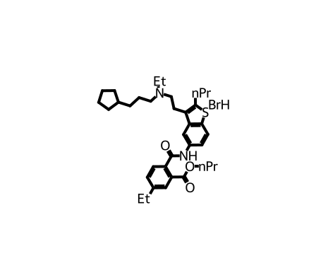 Br.CCCOC(=O)c1cc(CC)ccc1C(=O)Nc1ccc2sc(CCC)c(CCN(CC)CCCC3CCCC3)c2c1